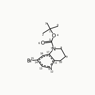 CC(C)(C)OC(=O)N1CCCc2ncc(Br)cc21